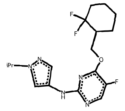 CC(C)n1cc(Nc2ncc(F)c(OCC3CCCCC3(F)F)n2)cn1